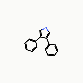 C1=C(c2ccccc2)C(c2ccccc2)=C[N]1